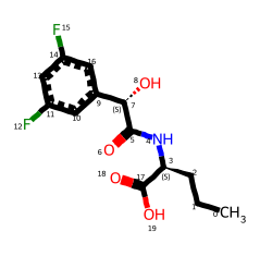 CCC[C@H](NC(=O)[C@@H](O)c1cc(F)cc(F)c1)C(=O)O